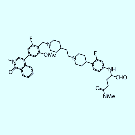 CNC(=O)CCC(C=O)Nc1ccc(C2CCN(CCC3CCN(Cc4c(F)cc(-c5cn(C)c(=O)c6ccccc56)cc4OC)CC3)CC2)c(F)c1